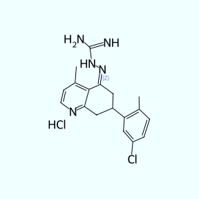 Cc1ccc(Cl)cc1C1C/C(=N/NC(=N)N)c2c(C)ccnc2C1.Cl